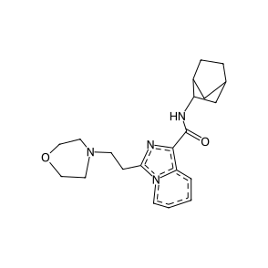 O=C(NC1CC2CCC1C2)c1nc(CCN2CCOCC2)n2ccccc12